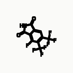 O=C1NC(=O)c2c1cc(C(F)(F)F)c(C(F)(F)F)c2F